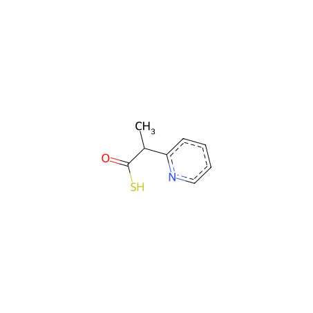 CC(C(=O)S)c1ccccn1